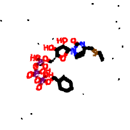 CCSCc1ccn([C@@H]2O[C@H](COP(=O)(O)OP(=O)(O)OP(=O)(O)OCC3CCCCC3)C(O)[C@@H]2O)c(=O)n1